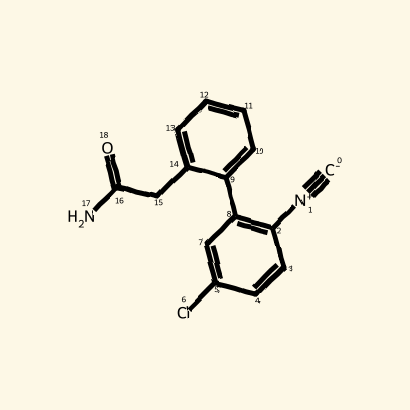 [C-]#[N+]c1ccc(Cl)cc1-c1ccccc1CC(N)=O